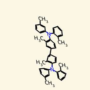 Cc1cccc(N(c2ccccc2C)c2ccc(-c3ccc(N(c4cccc(C)c4)c4ccccc4C)c(C)c3)cc2C)c1